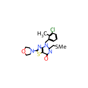 CSCc1nc(=O)c2sc(N3CCOCC3)nc2n1Cc1cccc(Cl)c1C